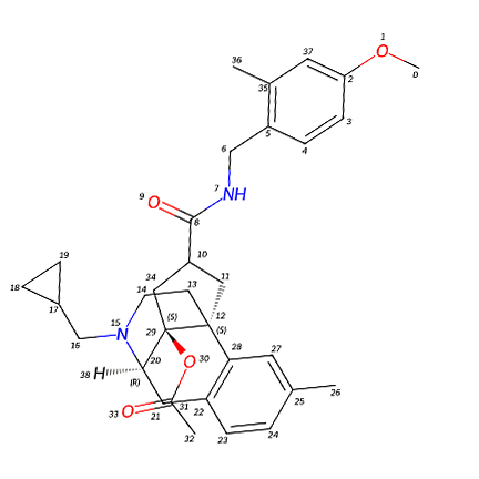 COc1ccc(CNC(=O)C2C[C@]34CCN(CC5CC5)[C@H](Cc5ccc(C)cc53)[C@]4(OC(C)=O)C2)c(C)c1